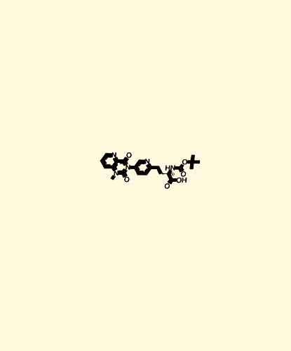 Cn1c(=O)n(-c2ccc(CC[C@H](NC(=O)OC(C)(C)C)C(=O)O)nc2)c(=O)c2ncccc21